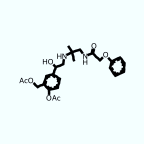 CC(=O)OCc1cc(C(O)CNC(C)(C)CNC(=O)COc2ccccc2)ccc1OC(C)=O